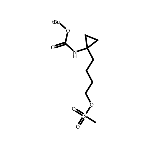 CC(C)(C)OC(=O)NC1(CCCCOS(C)(=O)=O)CC1